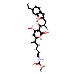 CCc1ccc2cc(CC(C)C(=O)c3c(OI)cc(C(C)CC/C=C/NC(=O)OC)oc3=O)oc2c1